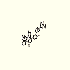 Cc1ccc(C(=O)Nc2cncc(C(F)(F)F)c2)cc1[C@@H]1CCN(c2cncnc2)C1